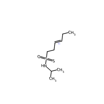 CC/C=C/CCS(=O)(=S)NC(C)C